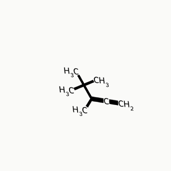 C=C=C(C)C(C)(C)C